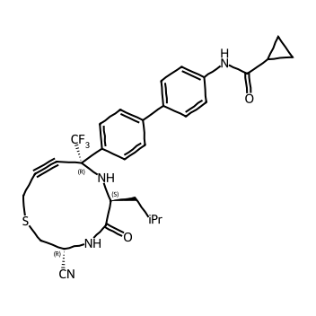 CC(C)C[C@@H]1N[C@@](c2ccc(-c3ccc(NC(=O)C4CC4)cc3)cc2)(C(F)(F)F)C#CCSC[C@@H](C#N)NC1=O